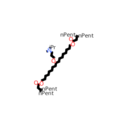 CCCCCC(CCCCC)CC(=O)OCCCCCCCCC(CCCCCCCCOC(=O)CC(CCCCC)CCCCC)OCCCN(C)C(C)C